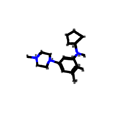 CC(=O)c1cc(N2CCN(C)CC2)cc(N(C)C2CCCC2)c1C